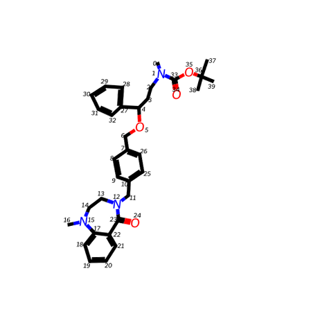 CN(CCC(OCc1ccc(CN2CCN(C)c3ccccc3C2=O)cc1)c1ccccc1)C(=O)OC(C)(C)C